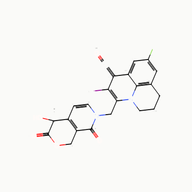 CC[C@@]1(O)C(=O)OCc2c1ccn(CC1=C(I)C(=C=O)c3cc(F)cc4c3N1CCC4)c2=O